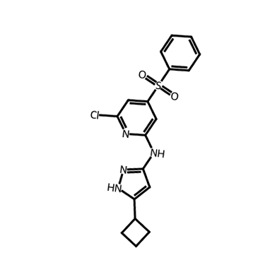 O=S(=O)(c1ccccc1)c1cc(Cl)nc(Nc2cc(C3CCC3)[nH]n2)c1